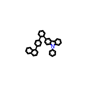 c1ccc(-n2c3ccccc3c3cc(-c4ccccc4-c4ccc(-c5cccc6ccccc56)cc4)ccc32)cc1